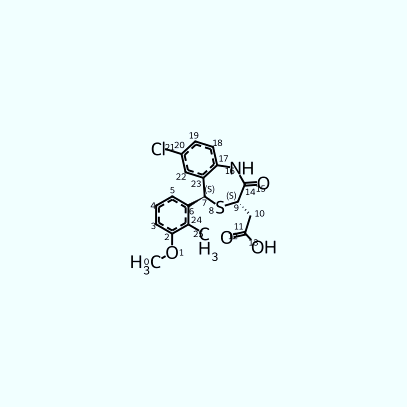 COc1cccc([C@@H]2S[C@@H](CC(=O)O)C(=O)Nc3ccc(Cl)cc32)c1C